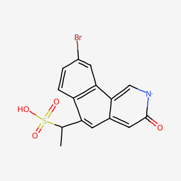 CC(c1cc2c(c3cc(Br)ccc13)=C[N]C(=O)C=2)S(=O)(=O)O